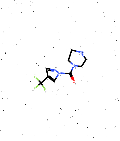 O=C(N1CCNCC1)n1cc(C(F)(F)F)cn1